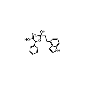 O=C(O)C(OP(=O)(O)CCc1cccc2[nH]ccc12)c1ccccc1